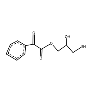 O=C(OCC(O)CS)C(=O)c1ccccc1